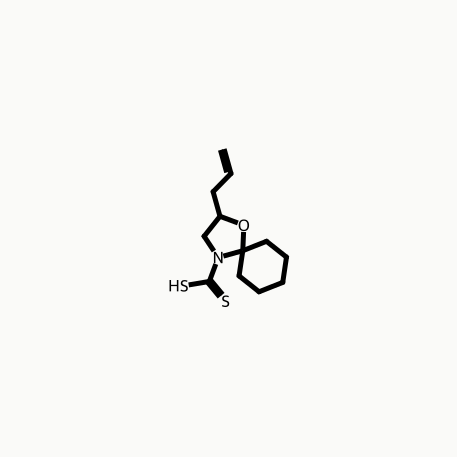 C=CCC1CN(C(=S)S)C2(CCCCC2)O1